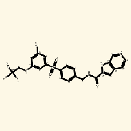 O=C(NCc1ccc(S(=O)(=O)c2cc(Cl)cc(OCC(F)(F)F)c2)cc1)c1cc2ccncc2o1